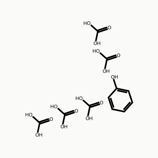 O=C(O)O.O=C(O)O.O=C(O)O.O=C(O)O.O=C(O)O.Oc1ccccc1